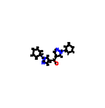 O=C(c1cnn(-c2ccccc2)c1)c1cnn(-c2ccccc2)c1